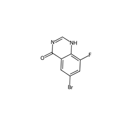 O=c1nc[nH]c2c(F)cc(Br)cc12